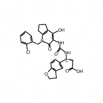 O=C(O)C[C@H](NC(=O)Nc1c(O)c2c(n(Cc3ccccc3Cl)c1=O)CCC2)c1ccc2c(c1)CCO2